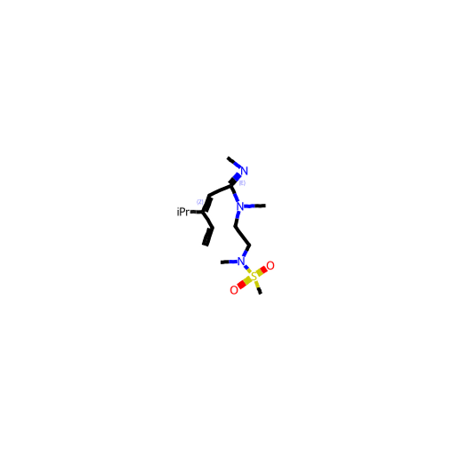 C=C/C(=C\C(=N/C)N(C)CCN(C)S(C)(=O)=O)C(C)C